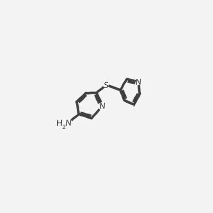 Nc1ccc(Sc2c[c]cnc2)nc1